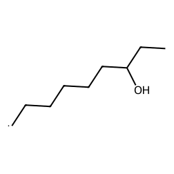 [CH2]CCCCCC(O)CC